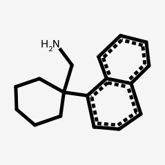 NCC1(c2cccc3ccccc23)CCCCC1